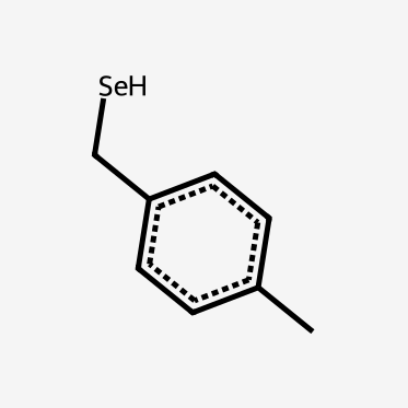 Cc1ccc(C[SeH])cc1